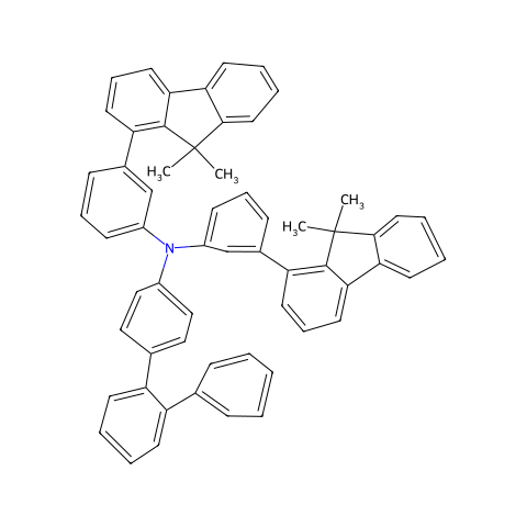 CC1(C)c2ccccc2-c2cccc(-c3cccc(N(c4ccc(-c5ccccc5-c5ccccc5)cc4)c4cccc(-c5cccc6c5C(C)(C)c5ccccc5-6)c4)c3)c21